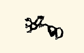 COc1cc2c(NCc3ccc4c(c3)OCCO4)ncnc2c(OC)c1OC